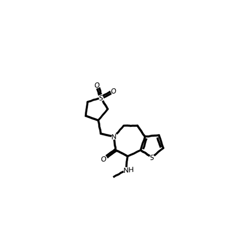 CNC1C(=O)N(CC2CCS(=O)(=O)C2)CCc2ccsc21